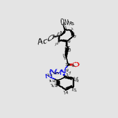 COc1ccc(C=CC(=O)n2nnc3ccccc32)cc1OC(C)=O